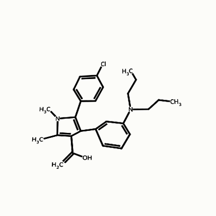 C=C(O)c1c(-c2cccc(N(CCC)CCC)c2)c(-c2ccc(Cl)cc2)n(C)c1C